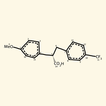 COc1ccc([C@H](Cc2ccc(C(F)(F)F)cc2)C(=O)O)cc1